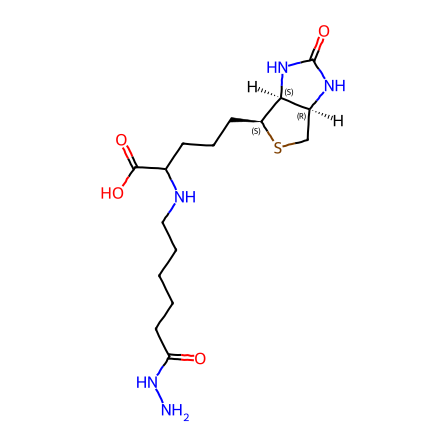 NNC(=O)CCCCCNC(CCC[C@@H]1SC[C@@H]2NC(=O)N[C@@H]21)C(=O)O